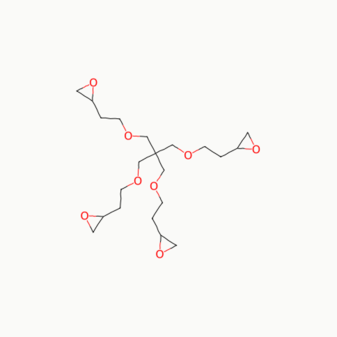 C(CC1CO1)OCC(COCCC1CO1)(COCCC1CO1)COCCC1CO1